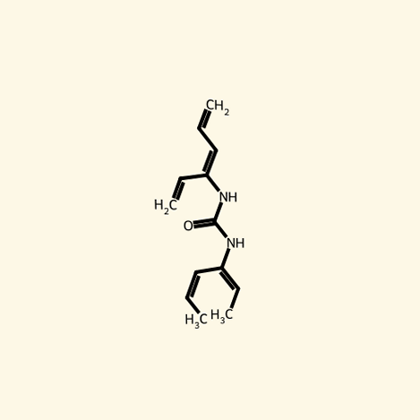 C=C/C=C(\C=C)NC(=O)NC(/C=C\C)=C/C